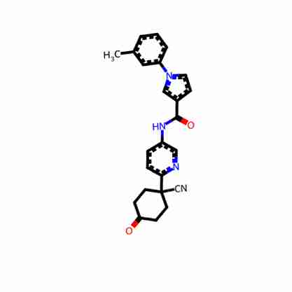 Cc1cccc(-n2ccc(C(=O)Nc3ccc(C4(C#N)CCC(=O)CC4)nc3)c2)c1